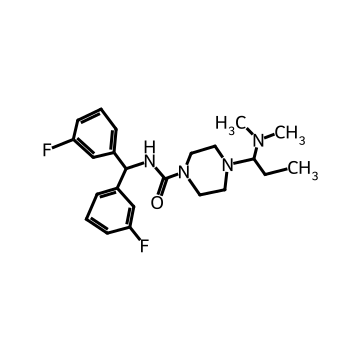 CCC(N(C)C)N1CCN(C(=O)NC(c2cccc(F)c2)c2cccc(F)c2)CC1